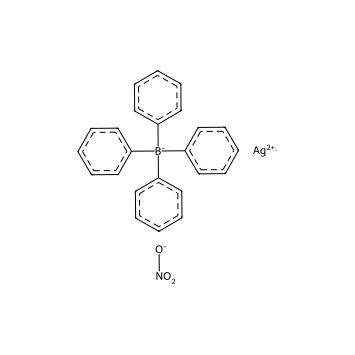 O=[N+]([O-])[O-].[Ag+2].c1ccc([B-](c2ccccc2)(c2ccccc2)c2ccccc2)cc1